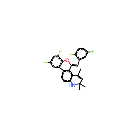 CC1=CC(C)(C)Nc2ccc3c(c21)/C(=C/c1cc(F)ccc1F)Oc1c(F)cc(F)cc1-3